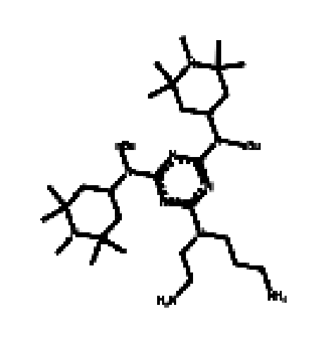 CCCCN(c1nc(N(CCN)CCCN)nc(N(CCCC)C2CC(C)(C)N(C)C(C)(C)C2)n1)C1CC(C)(C)N(C)C(C)(C)C1